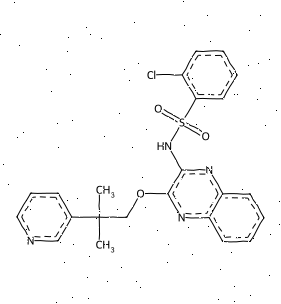 CC(C)(COc1nc2ccccc2nc1NS(=O)(=O)c1ccccc1Cl)c1cccnc1